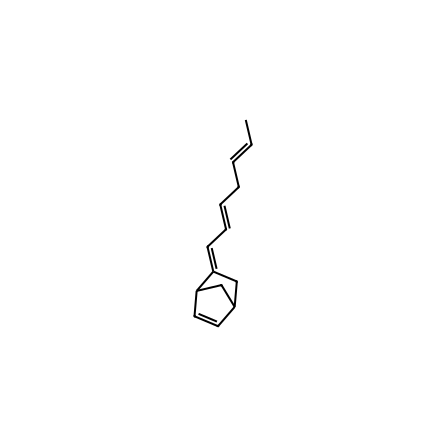 CC=CCC=CC=C1CC2C=CC1C2